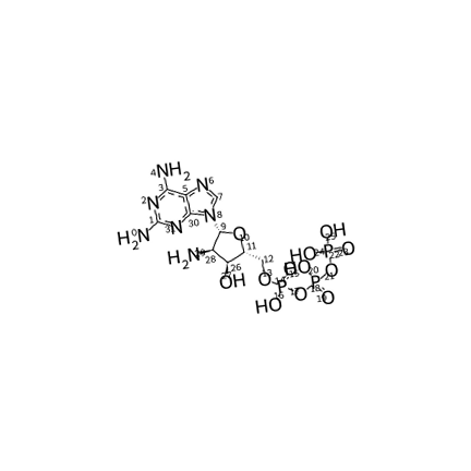 Nc1nc(N)c2ncn([C@@H]3O[C@H](COP(=O)(O)OP(=O)(O)OP(=O)(O)O)[C@@H](O)[C@H]3N)c2n1